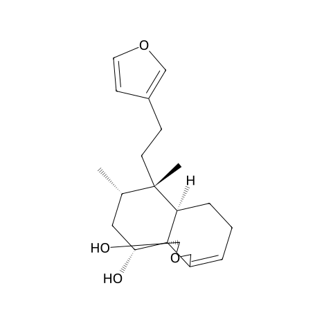 C[C@H]1C[C@@H](O)[C@]23C(=CCC[C@@H]2[C@@]1(C)CCc1ccoc1)COC3O